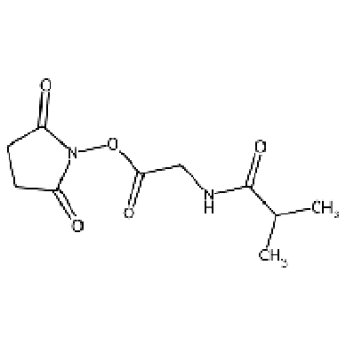 CC(C)C(=O)NCC(=O)ON1C(=O)CCC1=O